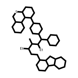 CCC(CCC1CCCC2C3CCCCC3CC12)C(C)C(CC)C(C1CCCCC1)C1CCC(C2CCCC3SCC4CCCCC4C32)CC1